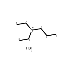 Br.CCCN(CC)CC